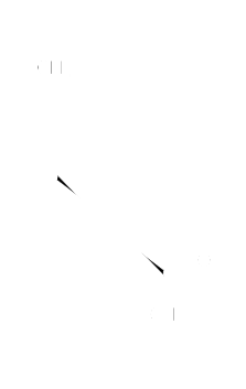 CCCC[C@H]1C[C@@H](C(C)=O)C1